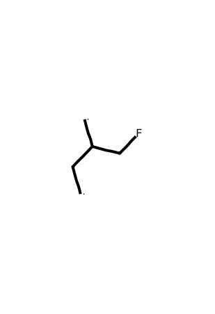 [CH2]CC([CH2])CF